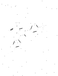 COc1ccc(C(NC(=O)C2(C#N)CC2)C(=O)Nc2ccc(S(C)(C)C)cc2)cc1